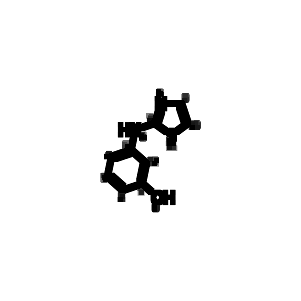 Oc1cccc(Nc2nccs2)c1